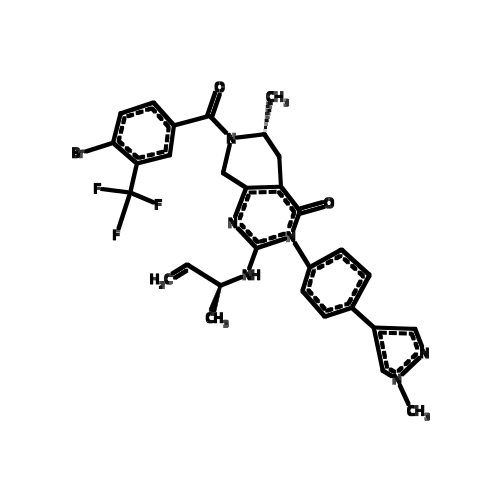 C=C[C@H](C)Nc1nc2c(c(=O)n1-c1ccc(-c3cnn(C)c3)cc1)C[C@@H](C)N(C(=O)c1ccc(Br)c(C(F)(F)F)c1)C2